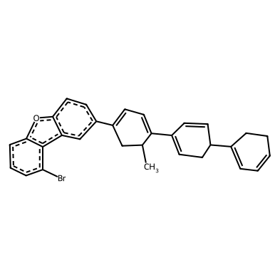 CC1CC(c2ccc3oc4cccc(Br)c4c3c2)=CC=C1C1=CCC(C2=CC=CCC2)C=C1